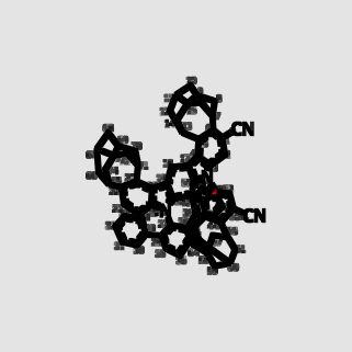 N#Cc1cc2c(c3c1C1CC4CC5CC3CC45C1)c1cc3c4c5c(ccc4n(-c4c(-c6ccccc6)cccc4-c4ccccc4)c3c3c4c6c(c(C#N)cc4n2c13)C1CC2CC(C1)CC6C2)C1CC2CC3CC5CC23C1